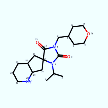 CC(C)N1C(=O)N(CC2CCOCC2)C(=O)C12CC1CCCNC1C2